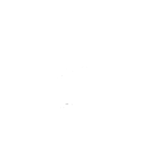 CC(O)(CCCCCCC(F)(F)F)CSC1CCC(=O)C1CCCCCCC(=O)O